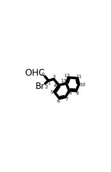 O=CC(Br)Cc1cccc2ccccc12